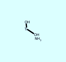 N.[OH][Ti][OH]